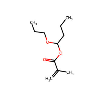 C=C(C)C(=O)OC(CCC)OCCC